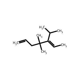 C=CCC(C)(C)C(=CC)[C](C)C